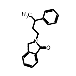 CC(CCN1Cc2ccccc2C1=O)c1ccccc1